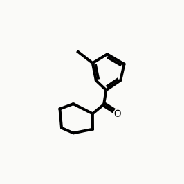 Cc1cccc(C(=O)C2CCCCC2)c1